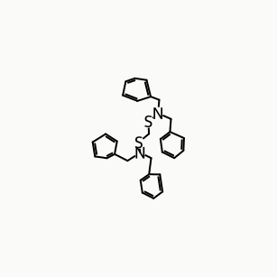 c1ccc(CN(Cc2ccccc2)SCSN(Cc2ccccc2)Cc2ccccc2)cc1